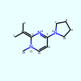 CC(C)=C1N=C(N2CCCC2)C=CN1C